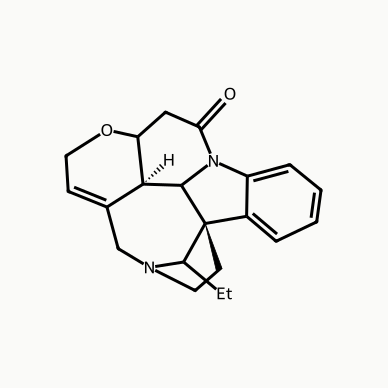 CCC1N2CC[C@@]13c1ccccc1N1C(=O)CC4OCC=C(C2)[C@@H]4C13